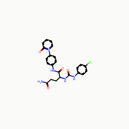 NC(=O)CCC(NC(=O)Nc1ccc(Cl)cc1)C(=O)Nc1ccc(-n2ccccc2=O)cc1